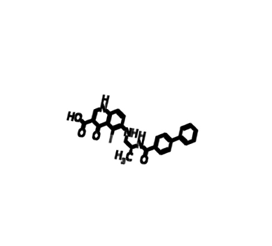 C[C@@H](CNc1ccc2[nH]cc(C(=O)O)c(=O)c2c1I)NC(=O)c1ccc(-c2ccccc2)cc1